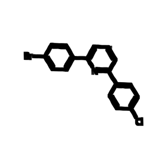 Clc1ccc(-c2c[c]cc(-c3ccc(Br)cc3)n2)cc1